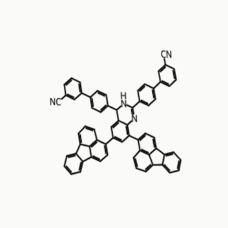 N#Cc1cccc(-c2ccc(C3=Nc4c(-c5ccc6c7c(cccc57)-c5ccccc5-6)cc(-c5ccc6c7c(cccc57)-c5ccccc5-6)cc4C(c4ccc(-c5cccc(C#N)c5)cc4)N3)cc2)c1